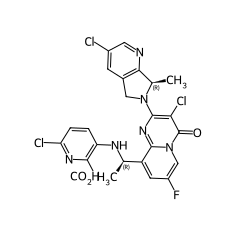 C[C@@H]1c2ncc(Cl)cc2CN1c1nc2c([C@@H](C)Nc3ccc(Cl)nc3C(=O)O)cc(F)cn2c(=O)c1Cl